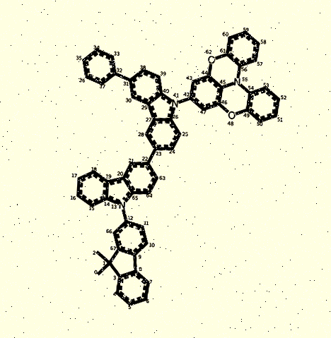 CC1(C)c2ccccc2-c2ccc(-n3c4ccccc4c4cc(-c5ccc6c(c5)c5cc(-c7ccccc7)ccc5n6-c5cc6c7c(c5)Oc5ccccc5N7c5ccccc5O6)ccc43)cc21